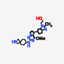 COc1nc(NC2CCC3(CC2)CNC3)nn2ccc(-c3ccc4nc(C)n(CCO)c4c3)c12